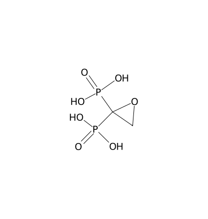 O=P(O)(O)C1(P(=O)(O)O)CO1